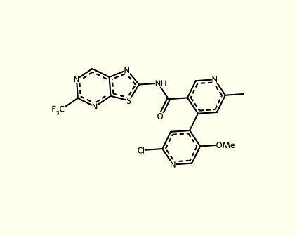 COc1cnc(Cl)cc1-c1cc(C)ncc1C(=O)Nc1nc2cnc(C(F)(F)F)nc2s1